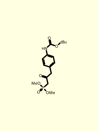 COP(=O)(CC(=O)Cc1ccc(NC(=O)OC(C)(C)C)cc1)OC